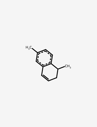 Cc1ccc2c(c1)C=CCC2C